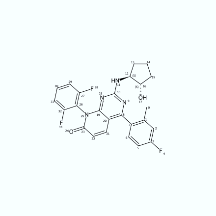 Cc1cc(F)ccc1-c1nc(N[C@H]2CCC[C@@H]2O)nc2c1ccc(=O)n2-c1c(F)cccc1F